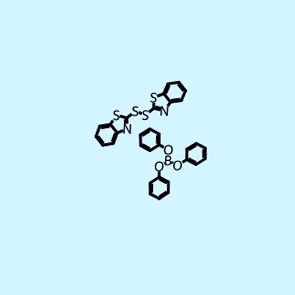 c1ccc(OB(Oc2ccccc2)Oc2ccccc2)cc1.c1ccc2sc(SSc3nc4ccccc4s3)nc2c1